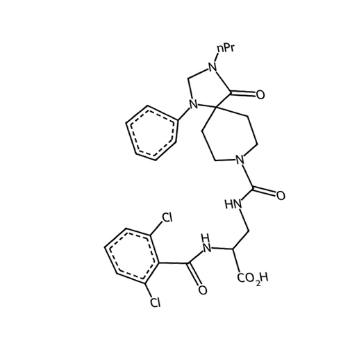 CCCN1CN(c2ccccc2)C2(CCN(C(=O)NCC(NC(=O)c3c(Cl)cccc3Cl)C(=O)O)CC2)C1=O